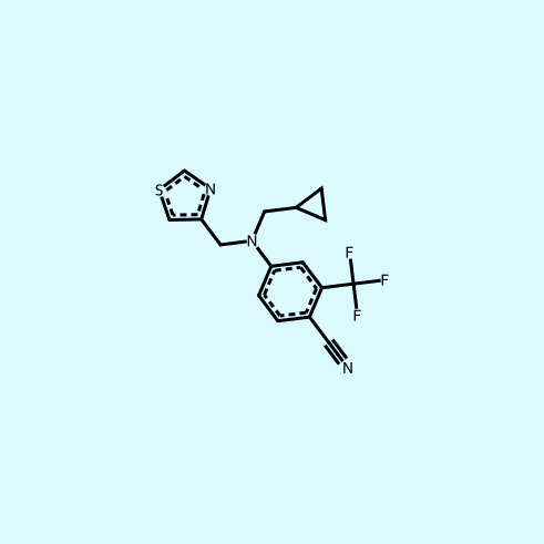 N#Cc1ccc(N(Cc2cscn2)CC2CC2)cc1C(F)(F)F